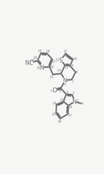 Cn1cc(C(=O)N2CCc3ccsc3C2Cc2cccc(C#N)n2)c2ccccc21